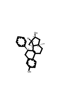 C[C@]12CCC3=C([C@H](c4ccccc4)Cc4cc(O)ccc43)[C@]13C[C@@H]3[C@@H](O)C2